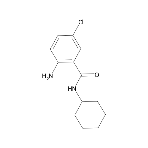 Nc1ccc(Cl)cc1C(=O)NC1CCCCC1